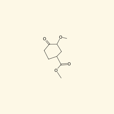 COC(=O)C1CCC(=O)C(OC)C1